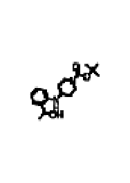 CC(O)c1ccccc1NC1CCN(C(=O)OC(C)(C)C)CC1